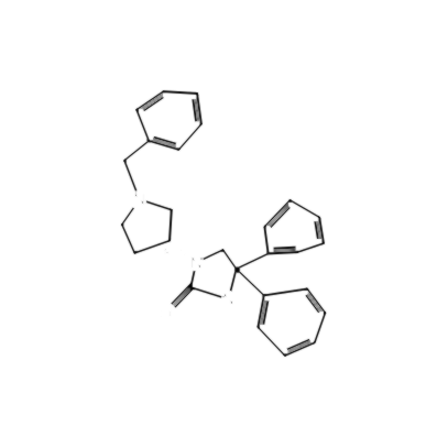 O=C1NC(c2ccccc2)(c2ccccc2)CN1[C@@H]1CCN(Cc2ccccc2)C1